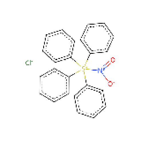 O=[N+]([O-])[S+](c1ccccc1)(c1ccccc1)(c1ccccc1)c1ccccc1.[Cl-]